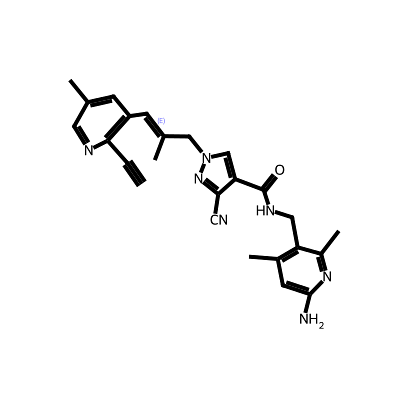 C#Cc1ncc(C)cc1/C=C(\C)Cn1cc(C(=O)NCc2c(C)cc(N)nc2C)c(C#N)n1